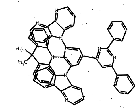 CC1(C)c2ccccc2N(c2c(-n3c4ccccc4c4ncccc43)cc(-c3cc(-c4ccccc4)nc(-c4ccccc4)n3)cc2-n2c3cccnc3c3ncccc32)c2ccccc21